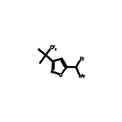 CCCC(CC)c1cc(C(C)(C)C(F)(F)F)no1